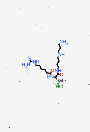 COC(NC(=O)CCCCCNC(=N)N)C(=O)NCCCCNCCCN.Cl.Cl.Cl